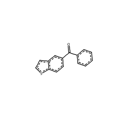 O=C(c1ccccc1)c1ccc2sccc2c1